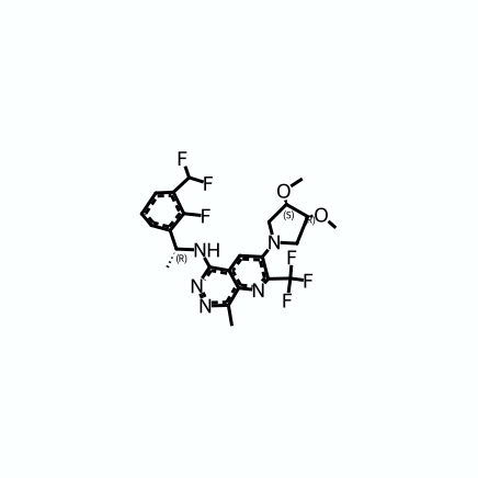 CO[C@H]1CN(c2cc3c(N[C@H](C)c4cccc(C(F)F)c4F)nnc(C)c3nc2C(F)(F)F)C[C@H]1OC